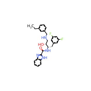 CCc1cccc(CNC[C@@H](O)[C@H](Cc2cc(F)cc(F)c2)NC(=O)c2nc3ccccc3[nH]2)c1